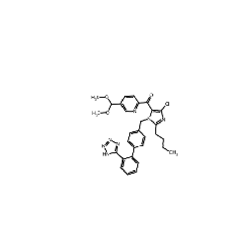 CCCCc1nc(Cl)c(C(=O)c2ccc(C(OC)OC)cn2)n1Cc1ccc(-c2ccccc2-c2nnn[nH]2)cc1